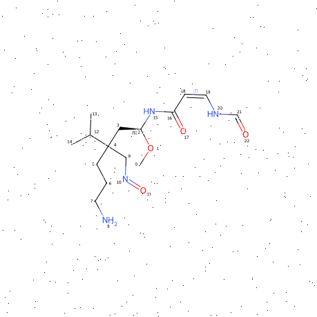 CO[C@@H](CC(CCCN)(CN=O)C(C)C)NC(=O)/C=C\NC=O